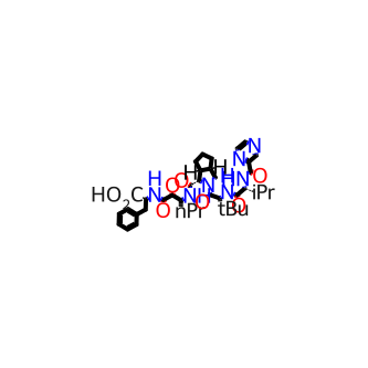 CCCC(NC(=O)[C@@H]1[C@H]2CCC[C@H]2CN1C(=O)C(NC(=O)[C@H](NC(=O)c1cnccn1)C(C)C)C(C)(C)C)C(=O)C(=O)N[C@H](Cc1ccccc1)C(=O)O